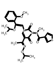 COc1ccccc1/C(=C/n1cc(/C(C)=N/OC(C)C)c(=O)n(N(C)C(=O)c2ccsc2)c1=O)OC(C)C